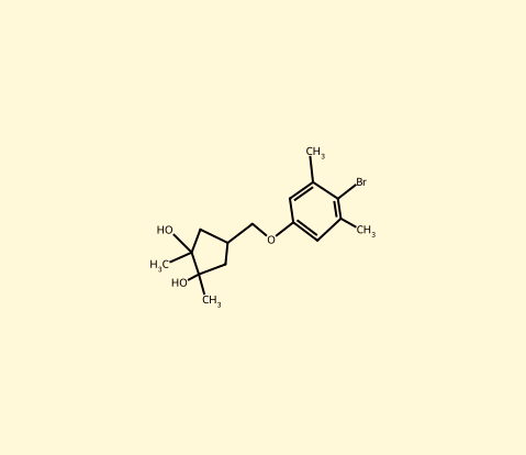 Cc1cc(OCC2CC(C)(O)C(C)(O)C2)cc(C)c1Br